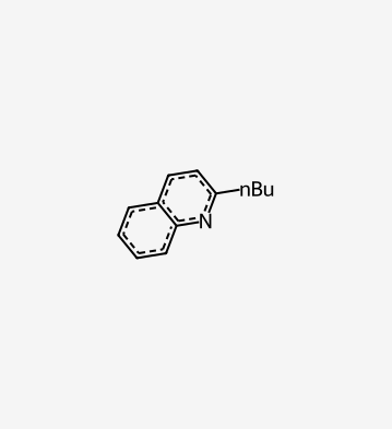 CCCCc1ccc2ccccc2n1